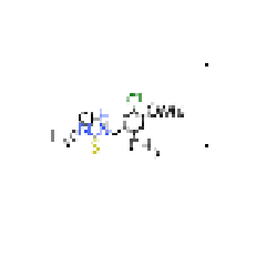 COc1cc(C)c(CNC(=S)N(C)C)cc1Cl